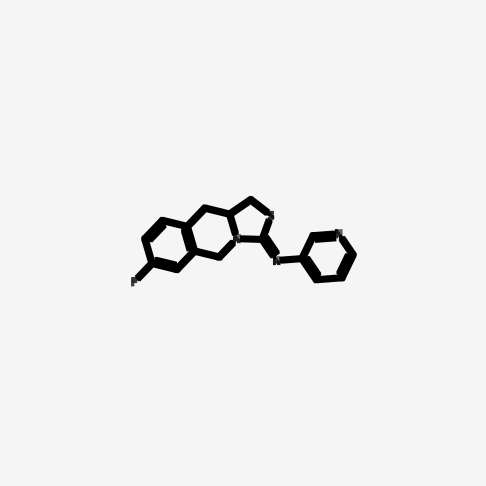 Fc1ccc2c(c1)CN1C(=Nc3cccnc3)SCC1C2